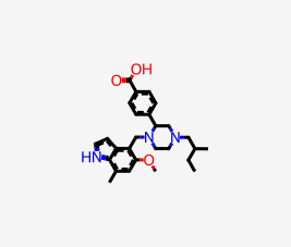 CCC(C)CN1CCN(Cc2c(OC)cc(C)c3[nH]ccc23)C(c2ccc(C(=O)O)cc2)C1